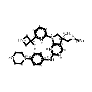 CC(C)(C)OC[C@]1(C)CN(c2cccc(C3(F)CNC3)n2)c2nc(Nc3ccc(N4CCOCC4)cc3)ncc21